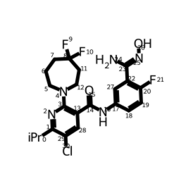 CC(C)c1nc(N2CCCC(F)(F)CC2)c(C(=O)Nc2ccc(F)c(C(N)=NO)c2)cc1Cl